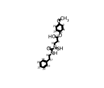 COc1ccc(OC(O)CCN(S)C(=O)NCCc2ccccc2)cc1